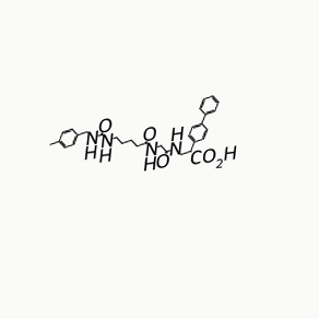 Cc1ccc(CNC(=O)NCCCCC(=O)NCC(=O)NCC(C(=O)O)c2ccc(-c3ccccc3)cc2)cc1